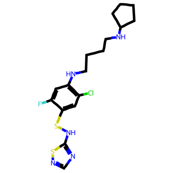 Fc1cc(NCCCCNC2CCCC2)c(Cl)cc1SNc1ncns1